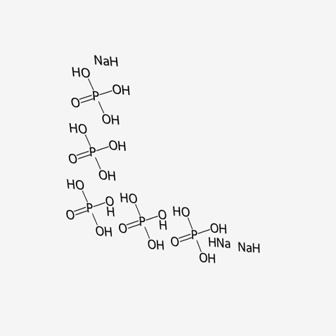 O=P(O)(O)O.O=P(O)(O)O.O=P(O)(O)O.O=P(O)(O)O.O=P(O)(O)O.[NaH].[NaH].[NaH]